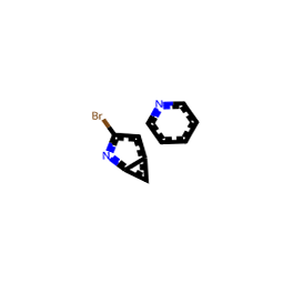 Brc1cc2cc-2n1.c1ccncc1